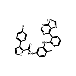 Cc1ccc(NC(=O)c2occc2-c2ccc(F)cc2)cc1Nc1ncccc1-c1ncnc2[nH]cnc12